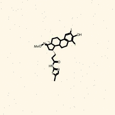 CON=C1C[C@@H](CCC(=O)Nc2ncc(C)s2)C2C3CCc4c(cc(I)c(O)c4I)C3CC[C@]12C